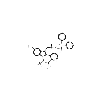 CO[C@@H](C)c1ncccc1-c1c(CC(C)(C)CO[Si](c2ccccc2)(c2ccccc2)C(C)(C)C)c2cc(Br)ccc2n1CC(F)(F)F